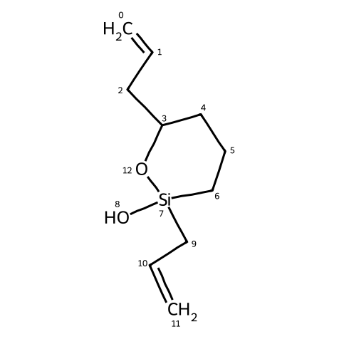 C=CCC1CCC[Si](O)(CC=C)O1